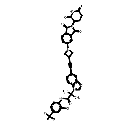 CC(C)(C(=O)Nc1ccc(C(F)(F)F)cc1Cl)n1cnc2cc(C#CC3CN(c4ccc5c(c4)C(=O)N(C4CCC(=O)NC4=O)C5=O)C3)ccc21